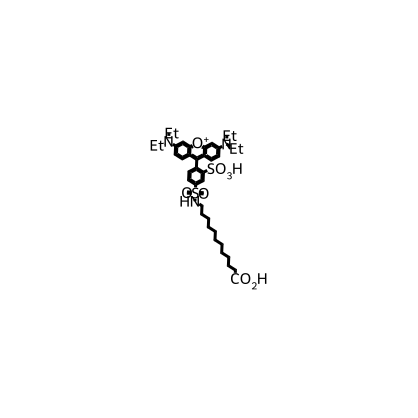 CCN(CC)c1ccc2c(-c3ccc(S(=O)(=O)NCCCCCCCCCCCC(=O)O)cc3S(=O)(=O)O)c3ccc(N(CC)CC)cc3[o+]c2c1